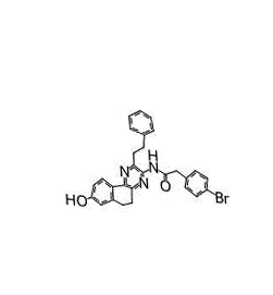 O=C(Cc1ccc(Br)cc1)Nc1nc2c(nc1CCc1ccccc1)-c1ccc(O)cc1CC2